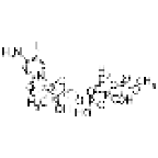 COP(=O)(O)OP(=O)(OC)OP(=O)(O)OC[C@H]1O[C@@H](n2cc(F)c(N)nc2=O)[C@](C)(Cl)[C@@H]1O